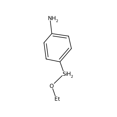 CCO[SiH2]c1ccc(N)cc1